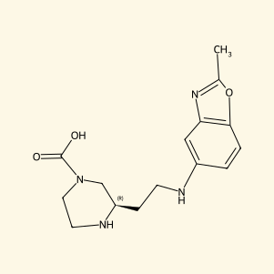 Cc1nc2cc(NCC[C@@H]3CN(C(=O)O)CCN3)ccc2o1